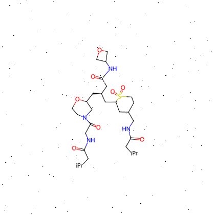 CC(C)CC(=O)NCC(=O)N1CCOC(C[C@@H](CC(=O)NC2COC2)CC2CC(CNC(=O)CC(C)C)CCS2(=O)=O)C1